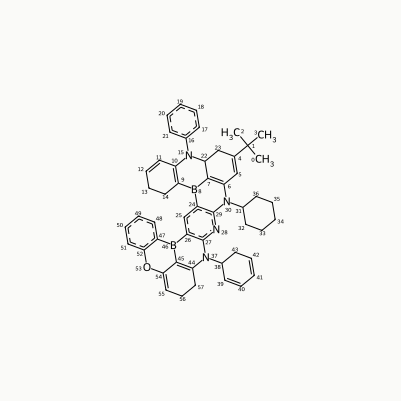 CC(C)(C)C1=CC2=C3B(C4=C(C=CCC4)N(c4ccccc4)C3C1)c1cc3c(nc1N2C1CCCCC1)N(C1C=CC=CC1)C1=C2B3c3ccccc3OC2=CCC1